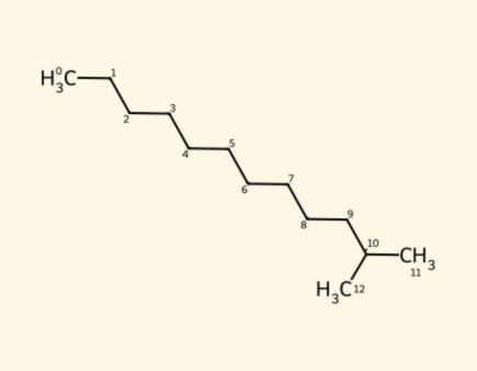 CCCCCCCCCC[C](C)C